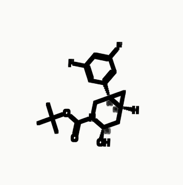 CC(C)(C)OC(=O)N1C[C@@]2(c3cc(F)cc(F)c3)C[C@H]2C[C@@H]1O